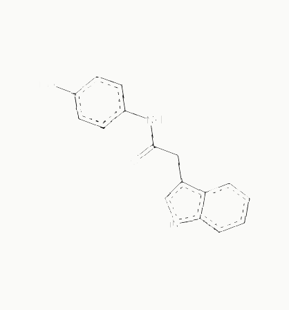 O=C(Cc1c[nH]c2ccccc12)Nc1ccc(O)cc1